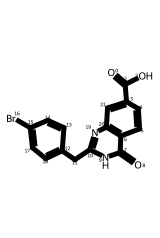 O=C(O)c1ccc2c(=O)[nH]c(Cc3ccc(Br)cc3)nc2c1